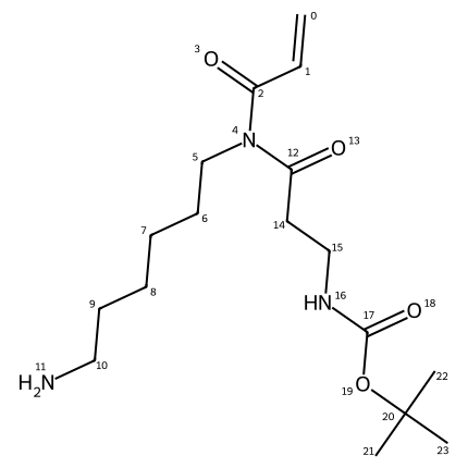 C=CC(=O)N(CCCCCCN)C(=O)CCNC(=O)OC(C)(C)C